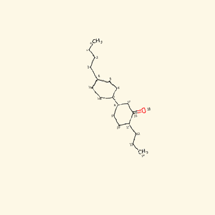 CCCCC1CCC(C2CCC(CCC)C(=O)C2)CC1